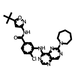 CC(C)(C)c1cc(NC(=O)c2ccc(Cl)c(Nc3ncnc4cnc(N5CCCCCC5)nc34)c2)no1